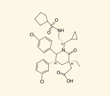 CC[C@]1(CC(=O)O)C[C@H](c2cccc(Cl)c2)C(c2ccc(Cl)cc2)N([C@H](CNS(=O)(=O)C2CCCC2)C2CC2)C1=O